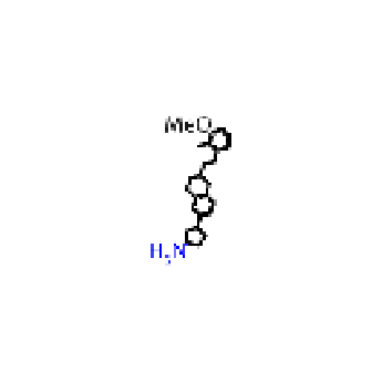 COc1cccc(CCC2CCc3cc(C4CCC(N)C4)ccc3C2)c1C